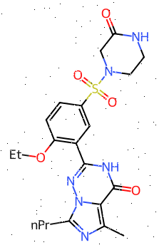 CCCc1nc(C)c2c(=O)[nH]c(-c3cc(S(=O)(=O)N4CCNC(=O)C4)ccc3OCC)nn12